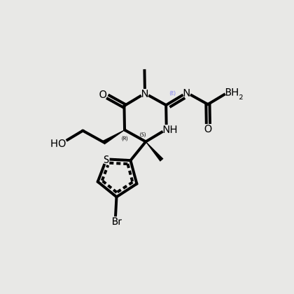 BC(=O)/N=C1\N[C@](C)(c2cc(Br)cs2)[C@@H](CCO)C(=O)N1C